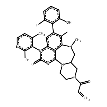 C=CC(=O)N1CCN2c3nc(=O)n(-c4c(C)ccnc4C(C)C)c4cc(-c5c(O)cccc5F)c(F)c(c34)N(C)CC2C1